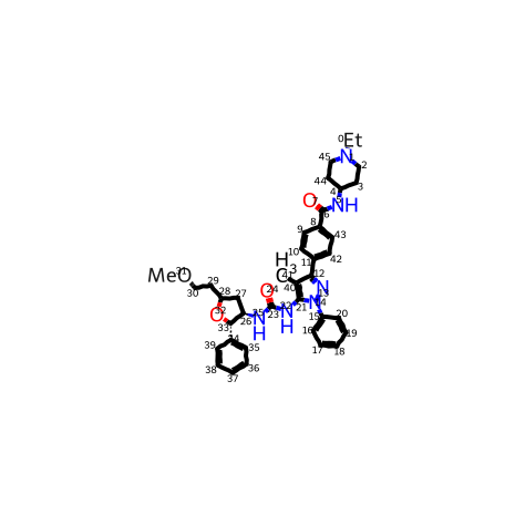 CCN1CCC(NC(=O)c2ccc(-c3nn(-c4ccccc4)c(NC(=O)N[C@@H]4CC(CCOC)O[C@H]4c4ccccc4)c3C)cc2)CC1